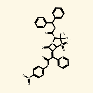 CC1(C)[C@H](C(=O)OC(c2ccccc2)c2ccccc2)N2C(=O)/C(=C(\C(=O)Oc3ccc([N+](=O)[O-])cc3)c3ccccn3)C2S1(=O)=O